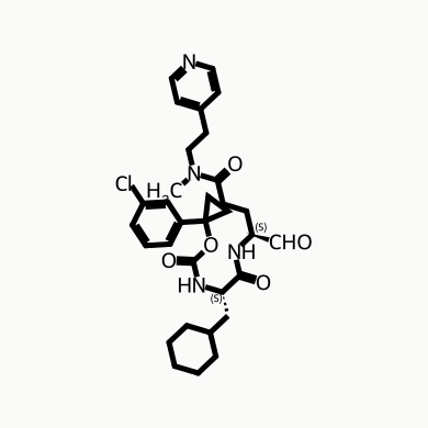 CN(CCc1ccncc1)C(=O)CC[C@@H](C=O)NC(=O)[C@H](CC1CCCCC1)NC(=O)OC1(c2cccc(Cl)c2)CC1